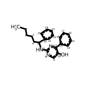 CCCCCC(Nc1ncc(O)c(-c2ccccc2)n1)c1ccccc1